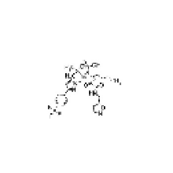 CCCC[C@@H](C(=O)C(=O)NCc1ccno1)N(C(=O)O)[C@H](Cn1ccc(-c2ccc(C(F)(F)F)cc2)n1)C(C)(C)C